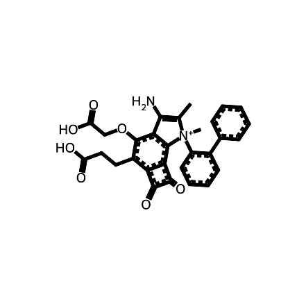 CC1=C(N)c2c(OCC(=O)O)c(CCC(=O)O)c3c(=O)c(=O)c3c2[N+]1(C)c1ccccc1-c1ccccc1